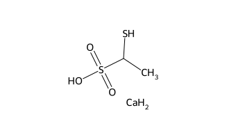 CC(S)S(=O)(=O)O.[CaH2]